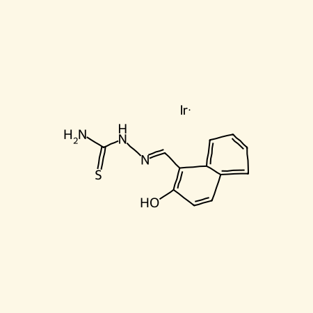 NC(=S)NN=Cc1c(O)ccc2ccccc12.[Ir]